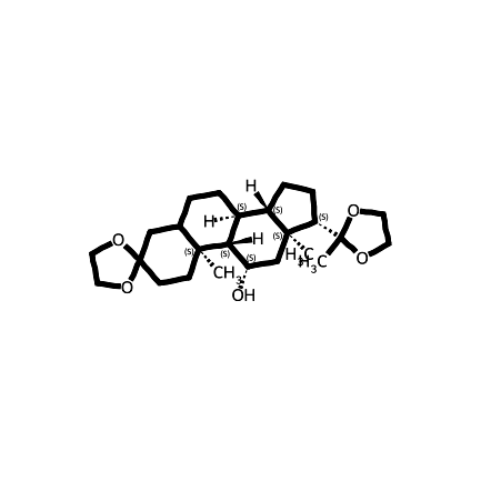 CC1([C@H]2CC[C@H]3[C@@H]4CCC5CC6(CC[C@]5(C)[C@H]4[C@@H](O)C[C@]23C)OCCO6)OCCO1